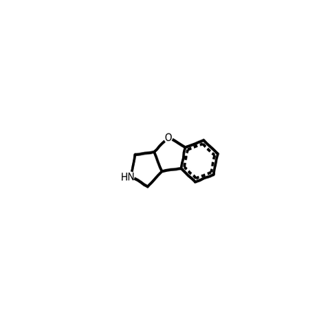 c1ccc2c(c1)OC1CNCC21